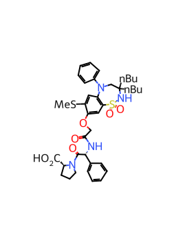 CCCCC1(CCCC)CN(c2ccccc2)c2cc(SC)c(OCC(=O)N[C@@H](C(=O)N3CCC[C@H]3C(=O)O)c3ccccc3)cc2S(=O)(=O)N1